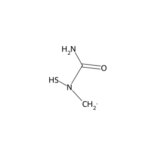 [CH2]N(S)C(N)=O